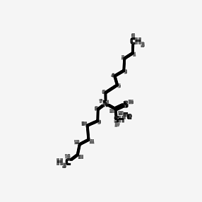 CCCCCCCN(CCCCCCC)C(=S)S.[Fe]